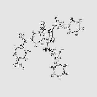 Cc1ccc(C(=O)N2C[C@@H](C(=O)N[C@H]3C[C@@H]3c3ccccc3)[C@H](C(=O)N[C@H]3C[C@@H]3c3ccccc3)C2)cc1